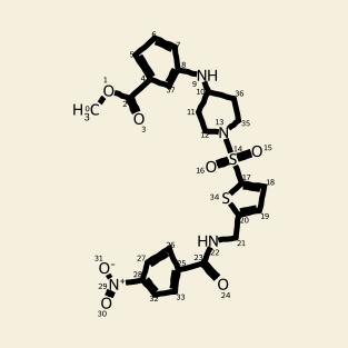 COC(=O)c1cccc(NC2CCN(S(=O)(=O)c3ccc(CNC(=O)c4ccc([N+](=O)[O-])cc4)s3)CC2)c1